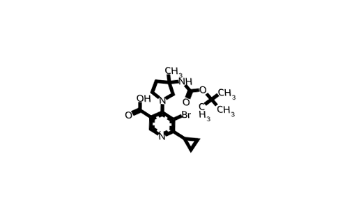 CC1(NC(=O)OC(C)(C)C)CCN(c2c(C(=O)O)cnc(C3CC3)c2Br)C1